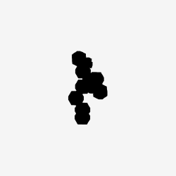 CC1(C)c2ccccc2-c2ccc(N(c3ccc(-c4cccc(-c5ccc6ccccc6c5)c4)cc3)c3cccc4c3oc3ccccc34)cc21